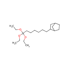 CCO[Si](CCCCCCC1CC2CCC1C2)(OCC)OCC